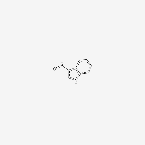 O=[PH]c1c[nH]c2ccccc12